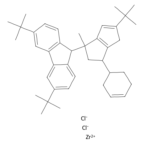 CC(C)(C)C1=CC2=C(C1)C(C1CC=CCC1)CC2(C)C1c2ccc(C(C)(C)C)cc2-c2cc(C(C)(C)C)ccc21.[Cl-].[Cl-].[Zr+2]